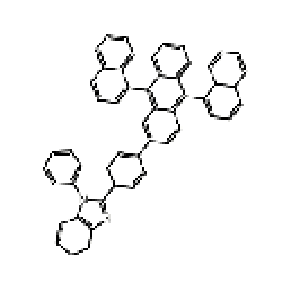 C1=CC2C=CC=C(c3c4ccccc4c(-c4cccc5ccccc45)c4cc(C5=CCC(c6nc7c(n6-c6ccccc6)C=CCC7)C=C5)ccc34)C2C=C1